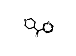 O=C(c1cccnc1)C1CCNCC1